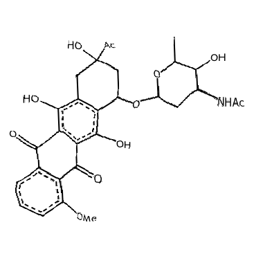 COc1cccc2c1C(=O)c1c(O)c3c(c(O)c1C2=O)CC(O)(C(C)=O)CC3OC1CC(NC(C)=O)C(O)C(C)O1